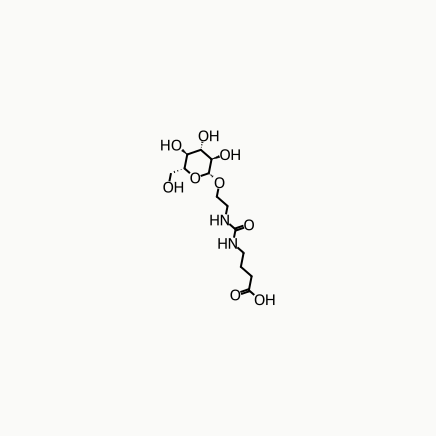 O=C(O)CCCNC(=O)NCCO[C@@H]1O[C@H](CO)[C@@H](O)[C@H](O)[C@H]1O